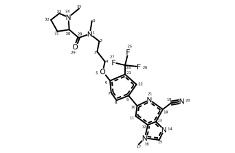 CN(CCCOc1ccc(-c2cc3c(ncn3C)c(C#N)n2)cc1C(F)(F)F)C(=O)C1CCCN1C